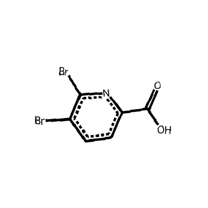 O=C(O)c1ccc(Br)c(Br)n1